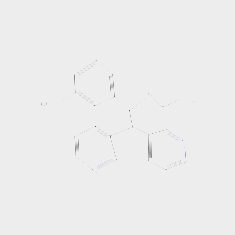 CSc1cccc(C(NCC(F)(F)F)C(c2cccnc2)c2cccnc2)c1